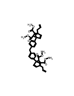 C=CCC12C=CC(c3ccc(Cc4ccc(C56C=CC(CC=C)(C5)C(C(=O)ON)C6C(=O)ON)cc4)cc3)(C1)C(C(=O)ON)C2C(=O)ON